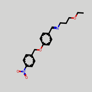 CCOCCCN=Cc1ccc(OCc2ccc([N+](=O)[O-])cc2)cc1